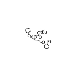 CCc1ccccc1OCCC[C@@H]1C[C@H](Oc2ccccc2)CN1C(=O)OC(C)(C)C